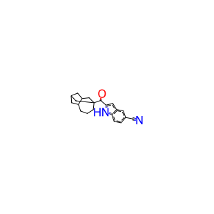 N#Cc1ccc2[nH]c(C(=O)C34CCCC5CC(CC5C3)C4)cc2c1